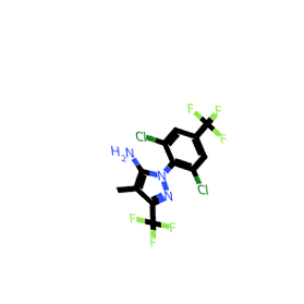 Cc1c(C(F)(F)F)nn(-c2c(Cl)cc(C(F)(F)F)cc2Cl)c1N